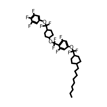 CCCCCCCCCC1CCC(C(F)(F)Oc2cc(F)c(C(F)(F)OC3CCC(C(F)(F)Oc4cc(F)c(F)c(F)c4)CC3)c(F)c2)CC1